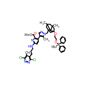 COC(=O)c1nc(NCCCc2c(Cl)nnc(Cl)c2C)ccc1-c1cnn(CC23CC4(C)CC(C)(C2)CC(OCCO[Si](c2ccccc2)(c2ccccc2)C(C)(C)C)(C4)C3)c1C